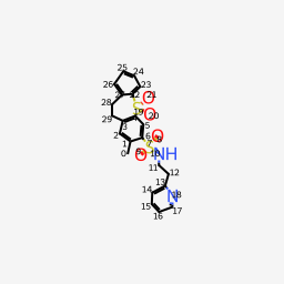 Cc1cc2c(cc1S(=O)(=O)NCCc1ccccn1)S(=O)(=O)c1ccccc1CC2